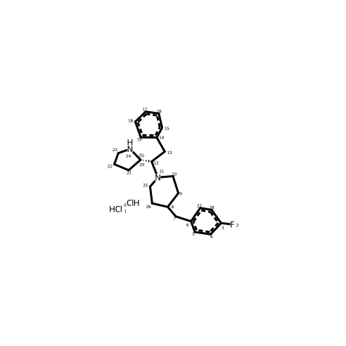 Cl.Cl.Fc1ccc(CC2CCN(C(Cc3ccccc3)[C@@H]3CCCN3)CC2)cc1